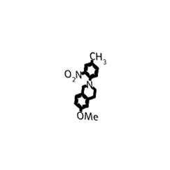 COc1ccc2c(c1)CCN(c1ccc(C)cc1[N+](=O)[O-])C2